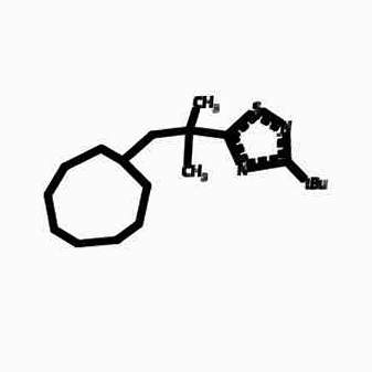 CC(C)(C)c1nsc(C(C)(C)CC2CCCCCCCC2)n1